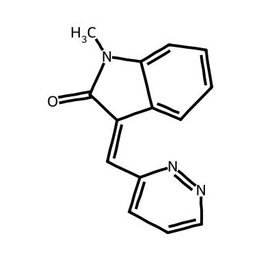 CN1C(=O)/C(=C/c2cccnn2)c2ccccc21